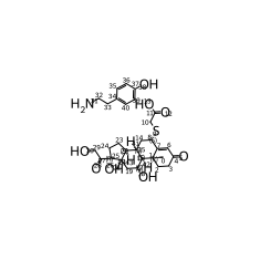 C[C@]12CCC(=O)C=C1[C@@H](SCC(=O)O)C[C@@H]1[C@@H]2[C@@H](O)C[C@@]2(C)[C@H]1CC[C@]2(O)C(=O)CO.NCCc1ccc(O)cc1